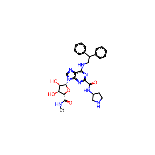 CCNC(=O)[C@H]1O[C@@H](n2cnc3c(NCC(c4ccccc4)c4ccccc4)nc(C(=O)NC4CCNC4)nc32)[C@H](O)[C@@H]1O